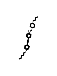 CCCCCOc1ccc(C#Cc2ccc(OC[C@H]3CC[C@H](CCCC)CC3)cc2)cc1